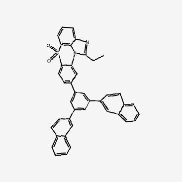 CCc1nc2cccc3c2n1-c1cc(-c2cc(-c4ccc5ccccc5c4)cc(-c4ccc5ccccc5c4)c2)ccc1S3(=O)=O